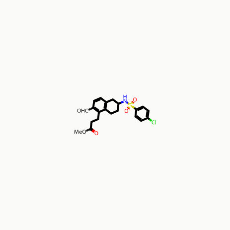 COC(=O)CCc1c(C=O)ccc2c1CCC(NS(=O)(=O)c1ccc(Cl)cc1)C2